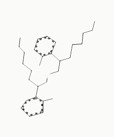 CCCCCCC(COCC(CCCCCC)c1ccccc1C)c1ccccc1C